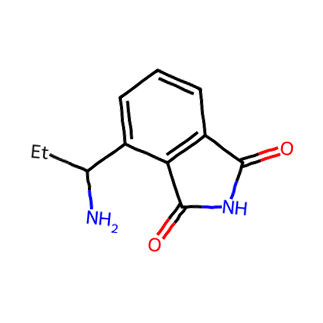 CCC(N)c1cccc2c1C(=O)NC2=O